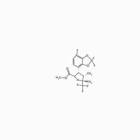 COC(=O)C1O[C@@](C)(C(F)(F)F)[C@@H](C)[C@H]1c1ccc(F)c2c1OC(F)(F)O2